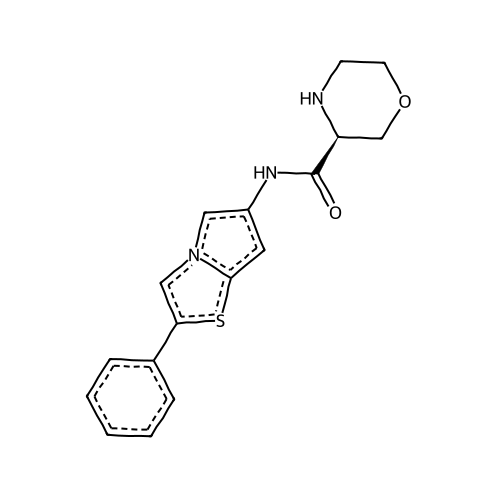 O=C(Nc1cc2sc(-c3ccccc3)cn2c1)[C@@H]1COCCN1